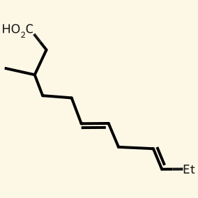 CCC=CCC=CCCC(C)CC(=O)O